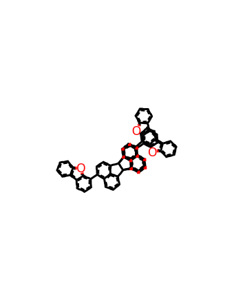 c1ccc2c(c1)oc1c(-c3ccc4c5c(cccc35)C35c6cccc7c(-c8cccc9c8oc8ccccc89)ccc(c67)C43c3ccc(-c4cccc6c4oc4ccccc46)c4cccc5c34)cccc12